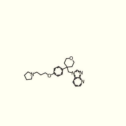 c1cnc2ncn(CC3(c4ccc(OCCCN5CCCC5)cc4)CCOCC3)c2c1